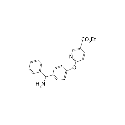 CCOC(=O)c1ccc(Oc2ccc(C(N)c3ccccc3)cc2)nc1